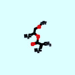 [CH2]CCOCC(C)OC(=O)C(=C)C